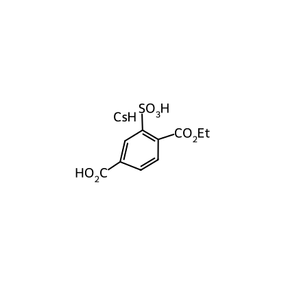 CCOC(=O)c1ccc(C(=O)O)cc1S(=O)(=O)O.[CsH]